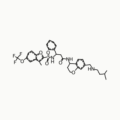 Cc1c(S(=O)(=O)NC(CC(=O)NC2CCOc3cc(CNCCC(C)C)ccc32)c2ccccc2)oc2ccc(OC(F)(F)F)cc12